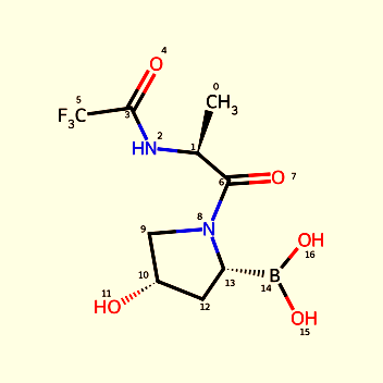 C[C@H](NC(=O)C(F)(F)F)C(=O)N1C[C@@H](O)C[C@H]1B(O)O